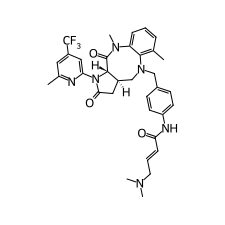 Cc1cc(C(F)(F)F)cc(N2C(=O)C[C@@H]3CN(Cc4ccc(NC(=O)/C=C/CN(C)C)cc4)c4c(C)cccc4N(C)C(=O)[C@H]32)n1